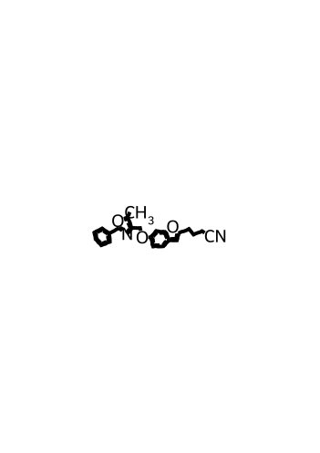 Cc1oc(-c2ccccc2)nc1COc1ccc2cc(CCCC#N)oc2c1